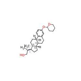 C/C(CO)=C1/CC[C@H]2[C@@H]3CCc4cc(OC5CCCCO5)ccc4[C@H]3CC[C@]12C